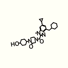 Cn1c(C(=O)N2CCN(C3CCC(O)CC3)C(=O)C2)nc2c(CC3CCCCC3)cc(C3CC3)cc21